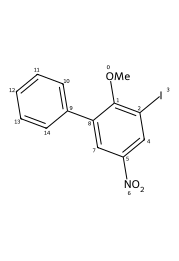 COc1c(I)cc([N+](=O)[O-])cc1-c1ccccc1